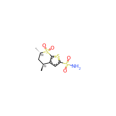 C[C@H]1C[C@H](C)S(=O)(=O)c2sc(S(N)(=O)=O)cc21